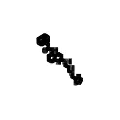 O=C(CC12CC3CC(CC(C3)C1)C2)Nc1cccc2nc(NCCCNCc3nccs3)ccc12